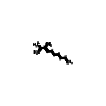 C=C(C)/C(C)=C/CCCCCC